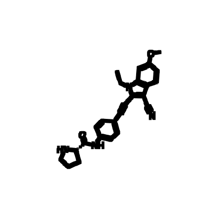 CCn1c(C#Cc2ccc(NC(=O)[C@@H]3CCCN3)cc2)c(C#N)c2ccc(OC)cc21